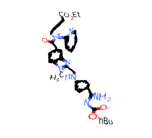 CCCCOC(=O)/N=C(\N)c1ccc(NCc2nc3cc(C(=O)N(CCC(=O)OCC)c4ccccn4)ccc3n2C)cc1